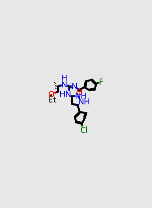 CCOC[C@H](C)N/C(=N/C(=O)c1ccc(F)cc1)NC1CC(c2ccc(Cl)cc2)NN1